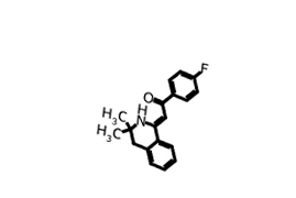 CC1(C)Cc2ccccc2C(=CC(=O)c2ccc(F)cc2)N1